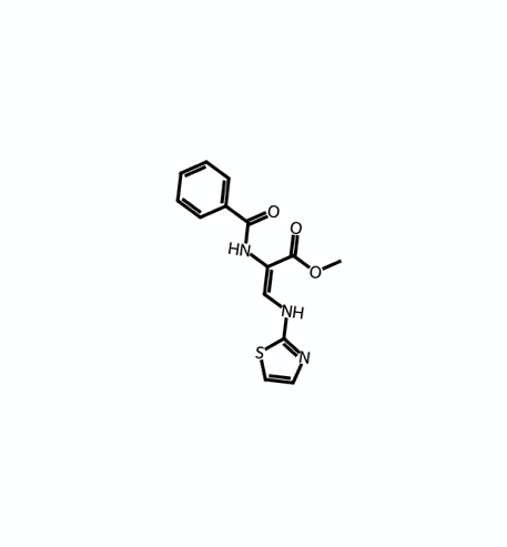 COC(=O)/C(=C\Nc1nccs1)NC(=O)c1ccccc1